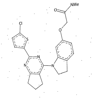 CNC(=O)COc1ccc2c(c1)N(c1nc(-c3ccc(Cl)s3)nc3c1CCC3)CC2